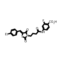 CCc1ccc(/C=C2\SC(=O)N(CCCC(=O)Nc3ccc(C(=O)O)c(F)c3)C2=O)cc1